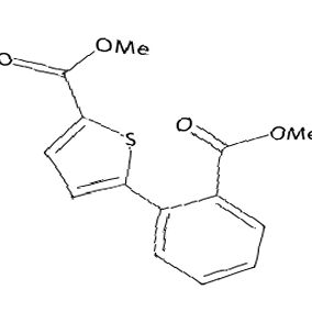 COC(=O)c1ccc(-c2ccccc2C(=O)OC)s1